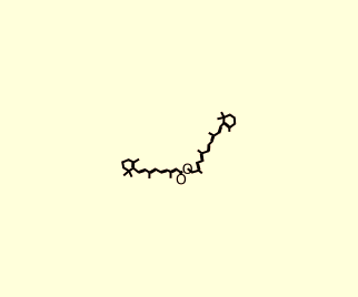 CC1=C(/C=C/C(C)=C/C=C/C(C)=C/C=C(\C)COC(=O)/C=C(C)/C=C/C=C(C)/C=C/C2=C(C)CCCC2(C)C)C(C)(C)CCC1